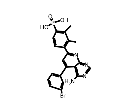 Cc1c(-c2cc(-c3cccc(Br)c3)c3c(N)ncnc3n2)ccc(P(=O)(O)O)c1C